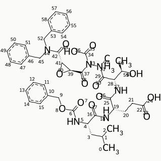 CC(C)C[C@H](NC(=O)OCc1ccccc1)C(=O)N[C@@H](CCC(=O)O)C(=O)N[C@H](C(=O)N(C)N(C(=O)O)C(=O)[C@H]1O[C@@H]1C(=O)N(Cc1ccccc1)Cc1ccccc1)[C@@H](C)O